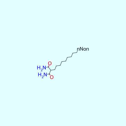 CCCCCCCCCCCCCCCCCCC(C(N)=O)C(N)=O